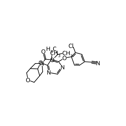 Cc1c(Oc2ccc(C#N)cc2Cl)ncnc1OC1C2COCC1CN(C(=O)OC(C)C)C2